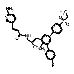 CCS(=O)(=O)c1ccc(-c2cc(/C=C(\C)CNC(=O)/C=C/c3ccc(N)nc3)c(C)c(-c3ccc(F)cc3)c2)cc1